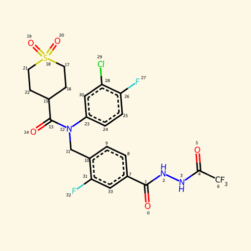 O=C(NNC(=O)C(F)(F)F)c1ccc(CN(C(=O)C2CCS(=O)(=O)CC2)c2ccc(F)c(Cl)c2)c(F)c1